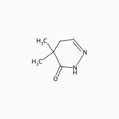 CC1(C)C[C]=NNC1=O